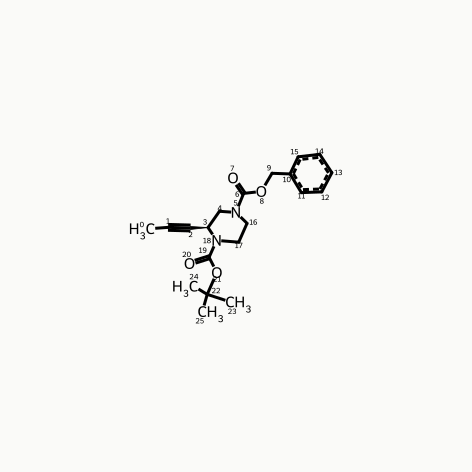 CC#C[C@H]1CN(C(=O)OCc2ccccc2)CCN1C(=O)OC(C)(C)C